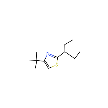 CCC(CC)c1nc(C(C)(C)C)cs1